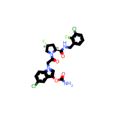 NC(=O)Oc1cn(CC(=O)N2C[C@H](F)C[C@H]2C(=O)NCc2cccc(Cl)c2F)c2ccc(Cl)cc12